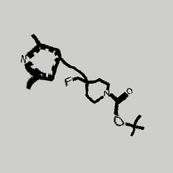 Cc1cc(CC2(F)CCN(C(=O)OC(C)(C)C)CC2)cc(C)n1